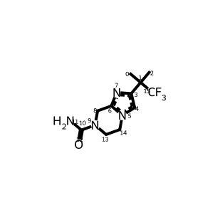 CC(C)(c1cn2c(n1)CN(C(N)=O)CC2)C(F)(F)F